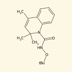 CC1=CC(C)(C)N(C(=O)NOC(C)(C)C)c2ccccc21